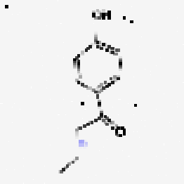 C/C=C/C(=O)c1ccc(O)cc1